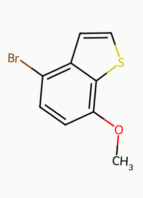 COc1ccc(Br)c2ccsc12